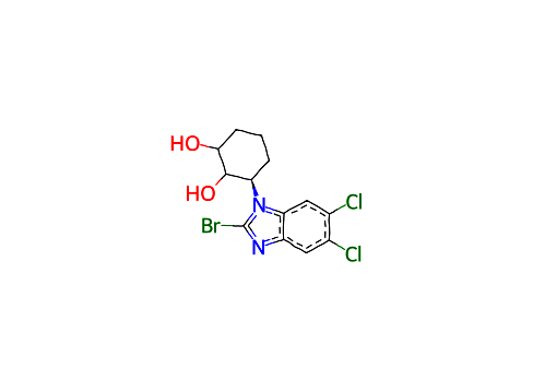 OC1CCC[C@@H](n2c(Br)nc3cc(Cl)c(Cl)cc32)C1O